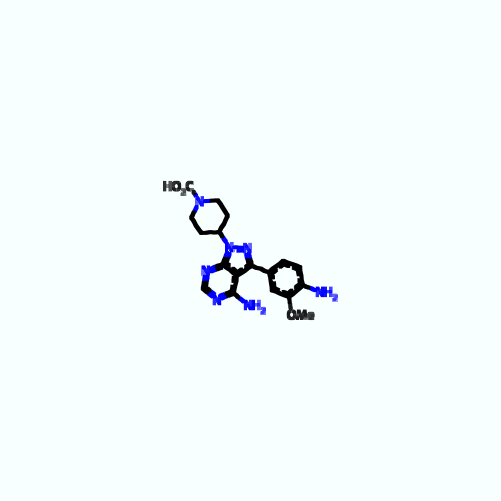 COc1cc(-c2nn(C3CCN(C(=O)O)CC3)c3ncnc(N)c23)ccc1N